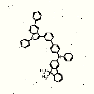 CC1(C)c2ccccc2-c2cc(N(c3ccccc3)c3ccc(-c4cccc(-c5cn(-c6ccccc6)c6ccc(-c7ccccc7)cc56)c4)cc3)ccc21